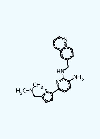 CN(C)Cc1ccc(-c2ccc(N)c(NCc3ccc4ncccc4c3)n2)s1